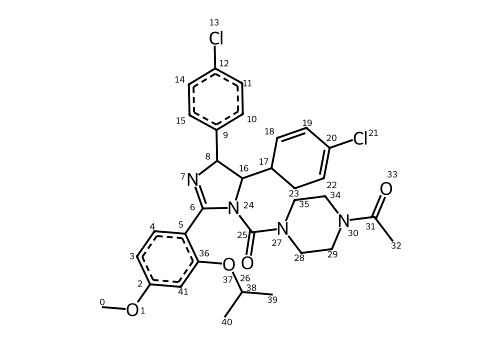 COc1ccc(C2=NC(c3ccc(Cl)cc3)C(C3C=CC(Cl)=CC3)N2C(=O)N2CCN(C(C)=O)CC2)c(OC(C)C)c1